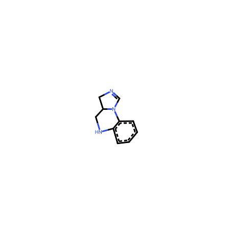 C1=NCC2CNc3ccccc3N12